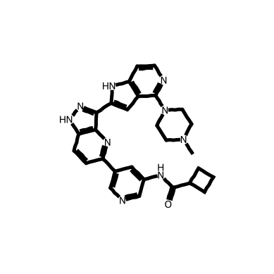 CN1CCN(c2nccc3[nH]c(-c4n[nH]c5ccc(-c6cncc(NC(=O)C7CCC7)c6)nc45)cc23)CC1